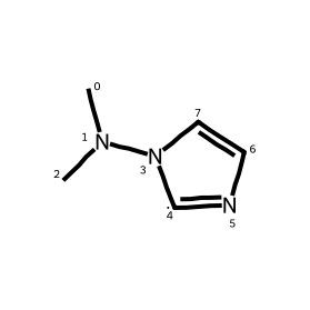 CN(C)n1[c]ncc1